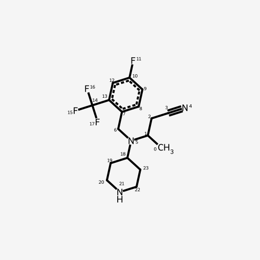 CC(CC#N)N(Cc1ccc(F)cc1C(F)(F)F)C1CCNCC1